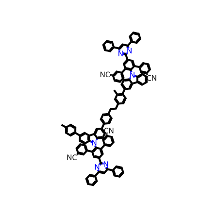 Cc1ccc(-c2ccc3c(c2)c2cc(-c4ccc(CCc5ccc(-c6ccc7c(c6)c6ccccc6n7-c6c(-c7cccc(C#N)c7)cc(-c7nc(-c8ccccc8)cc(-c8ccccc8)n7)cc6-c6cccc(C#N)c6)c(C)c5)cc4)ccc2n3-c2c(-c3cccc(C#N)c3)cc(-c3nc(-c4ccccc4)cc(-c4ccccc4)n3)cc2-c2cccc(C#N)c2)cc1